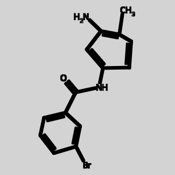 Cc1ccc(NC(=O)c2cccc(Br)c2)cc1N